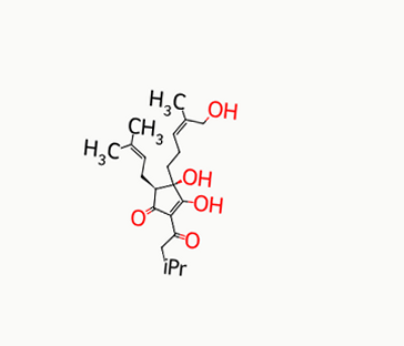 CC(C)=CC[C@@H]1C(=O)C(C(=O)CC(C)C)=C(O)[C@@]1(O)CCC=C(C)CO